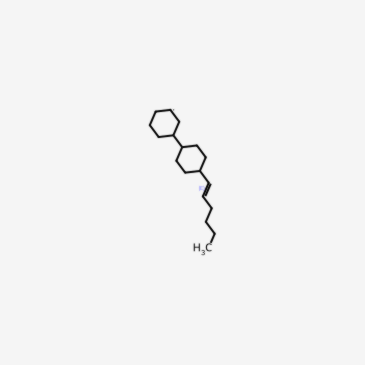 CCCC/C=C/C1CCC(C2C[CH]CCC2)CC1